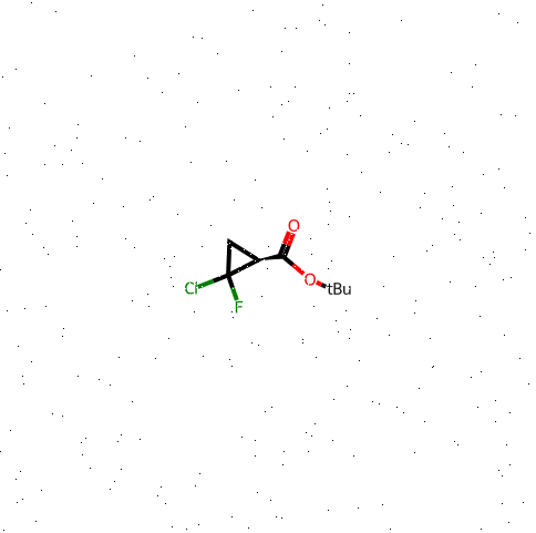 CC(C)(C)OC(=O)[C@@H]1CC1(F)Cl